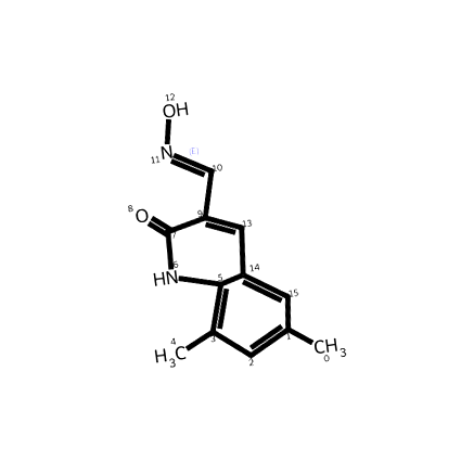 Cc1cc(C)c2[nH]c(=O)c(/C=N/O)cc2c1